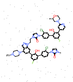 CC(C)N1CCN(c2cc(-c3cc(F)cc(-c4ccc(-n5ccn(C)c5=O)c(Cl)c4)c3O)cc3c2cnn3CCn2ccn(-c3ccc(-c4cc(F)cc(-c5ccnc(N6CCO[C@H](C)C6)c5)c4O)cc3Cl)c2=O)CC1